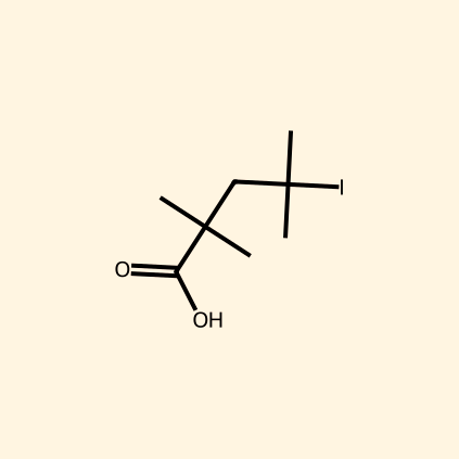 CC(C)(I)CC(C)(C)C(=O)O